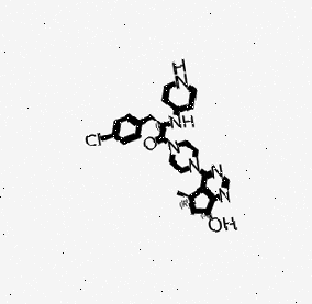 C[C@@H]1C[C@@H](O)c2ncnc(N3CCN(C(=O)[C@@H](Cc4ccc(Cl)cc4)NC4CCNCC4)CC3)c21